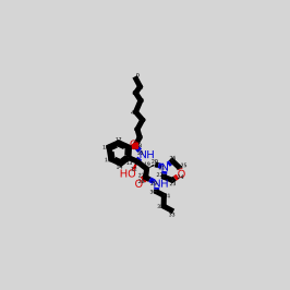 CCCCCCCCC(=O)N[C@@](O)(c1ccccc1)[C@H](CN1CCOCC1)C(=O)NCCCC